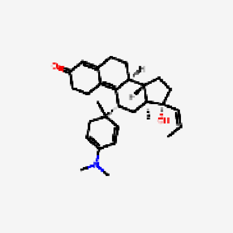 C/C=C\[C@]1(O)CC[C@H]2[C@@H]3CCC4=CC(=O)CCC4=C3[C@@H](C3(C)C=CC(N(C)C)=CC3)C[C@@]21C